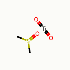 CS(C)=O.[O]=[Ti]=[O]